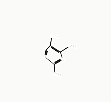 CNc1nc(SC)ncc1OC